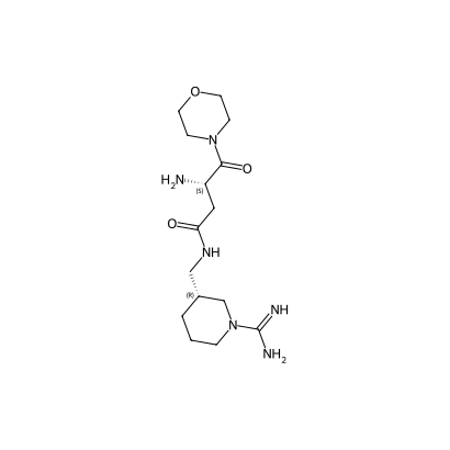 N=C(N)N1CCC[C@H](CNC(=O)C[C@H](N)C(=O)N2CCOCC2)C1